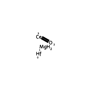 [Hf].[MgH2].[O]=[Ce]